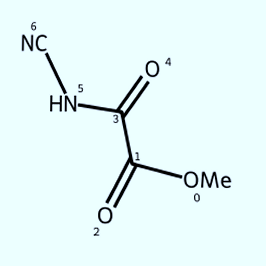 COC(=O)C(=O)NC#N